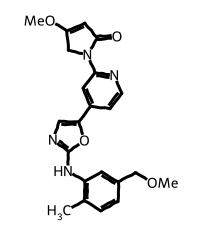 COCc1ccc(C)c(Nc2ncc(-c3ccnc(N4CC(OC)=CC4=O)c3)o2)c1